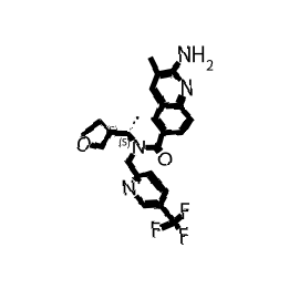 Cc1cc2cc(C(=O)N(Cc3ccc(C(F)(F)F)cn3)[C@@H](C)[C@@H]3CCOC3)ccc2nc1N